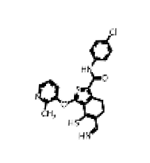 Cc1ncccc1Oc1sc(C(=O)Nc2ccc(Cl)cc2)c2c1C(S)=C(C=N)CC2